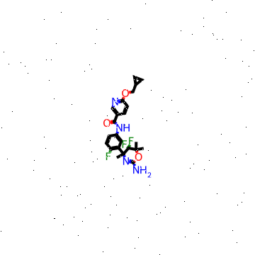 CC1(C)OC(N)=NC(C)(c2cc(NC(=O)c3ccc(OCC4CC4)nc3)ccc2F)C1(F)F